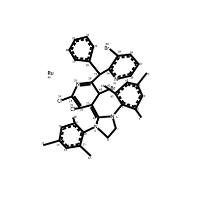 Cc1cc(C)c(N2CCN(c3c(C)cc(C)cc3C)C2=C2C(Cl)=C(Cl)N=C(C(c3ccccc3)c3ncccc3Br)C2Br)c(C)c1.[Ru]